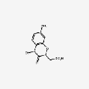 CCN1C(=O)C(CC(=O)O)Oc2cc(N)ccc21